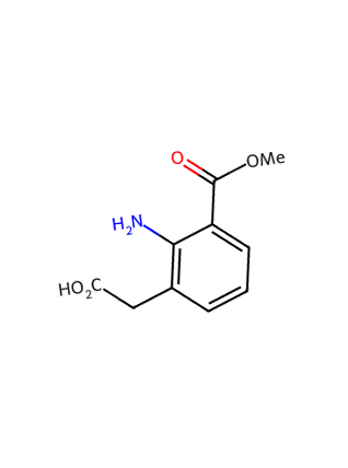 COC(=O)c1cccc(CC(=O)O)c1N